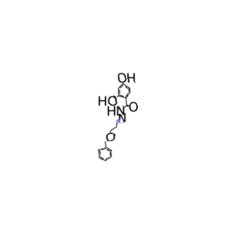 O=C(N/N=C/CCOCc1ccccc1)c1ccc(O)cc1O